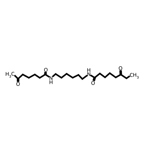 CCC(=O)CCCCC(=O)NCCCCCCNC(=O)CCCCC(C)=O